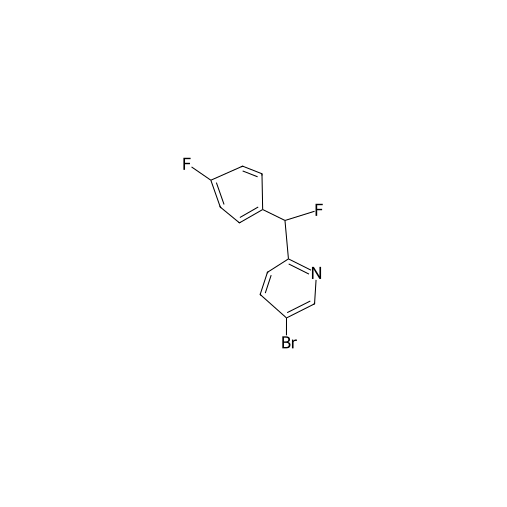 Fc1ccc(C(F)c2ccc(Br)cn2)cc1